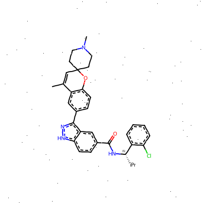 CC1=CC2(CCN(C)CC2)Oc2ccc(-c3n[nH]c4ccc(C(=O)N[C@H](c5ccccc5Cl)C(C)C)cc34)cc21